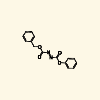 O=C(N=NC(=O)Oc1ccccc1)OCc1ccccc1